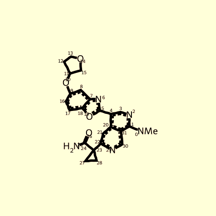 CNc1ncc(-c2nc3cc(OC4CCOC4)ccc3o2)c2cc(C3(C(N)=O)CC3)ncc12